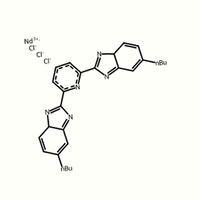 CCCCC1=CC2=NC(c3cccc(C4=NC5C=CC(CCCC)=CC5=N4)n3)=NC2C=C1.[Cl-].[Cl-].[Cl-].[Nd+3]